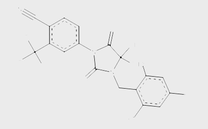 CC1(C)C(=O)N(c2ccc(C#N)c(C(F)(F)F)c2)C(=O)N1Cc1c(Cl)cc(Cl)cc1Br